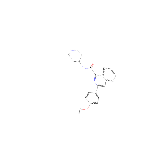 CCOc1ccc(-c2cc3ccccc3c(C(=O)NC3CCNCC3)n2)cc1.Cl.Cl